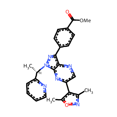 COC(=O)c1ccc(-c2nn([C@@H](C)c3ccccn3)c3nc(-c4c(C)noc4C)cnc23)cc1